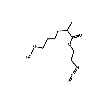 CC(CCCCOC#N)C(=O)OCCN=C=O